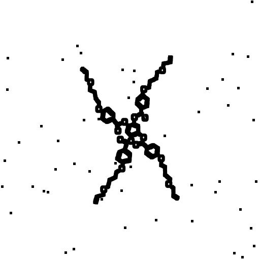 C=CCOCCCCOc1ccc(C(=O)Oc2cc(OC(=O)c3ccc(OCCCCOCC=C)cc3)c(OC(=O)c3ccc(OCCCCOCC=C)cc3)cc2OC(=O)c2ccc(OCCCCOCC=C)cc2)cc1